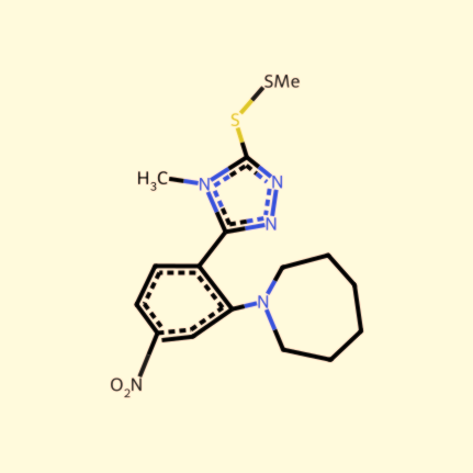 CSSc1nnc(-c2ccc([N+](=O)[O-])cc2N2CCCCCC2)n1C